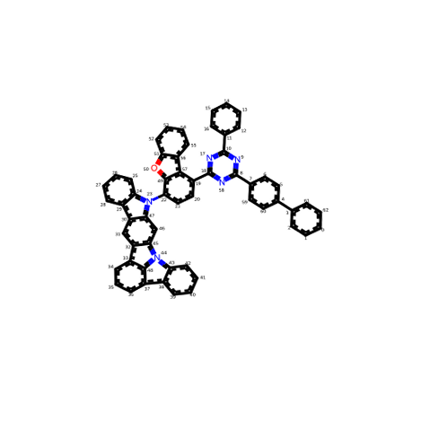 c1ccc(-c2ccc(-c3nc(-c4ccccc4)nc(-c4ccc(-n5c6ccccc6c6cc7c8cccc9c%10ccccc%10n(c7cc65)c98)c5oc6ccccc6c45)n3)cc2)cc1